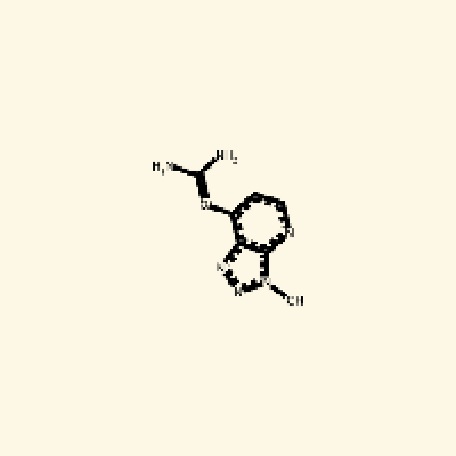 NC(N)=[O+]c1ccnc2c1nnn2O